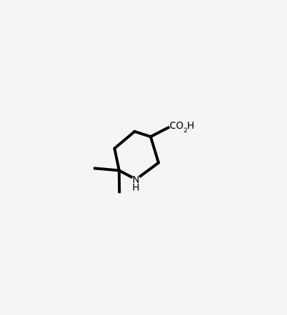 CC1(C)CCC(C(=O)O)CN1